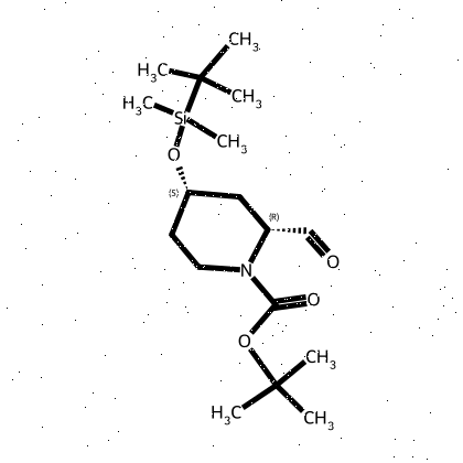 CC(C)(C)OC(=O)N1CC[C@H](O[Si](C)(C)C(C)(C)C)C[C@@H]1C=O